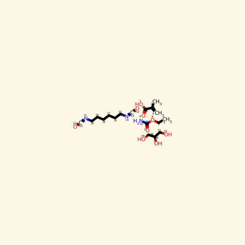 C=C(C)C(=O)O.CCOC(N)=O.O=C=NCCCCCCN=C=O.OCC(O)CO